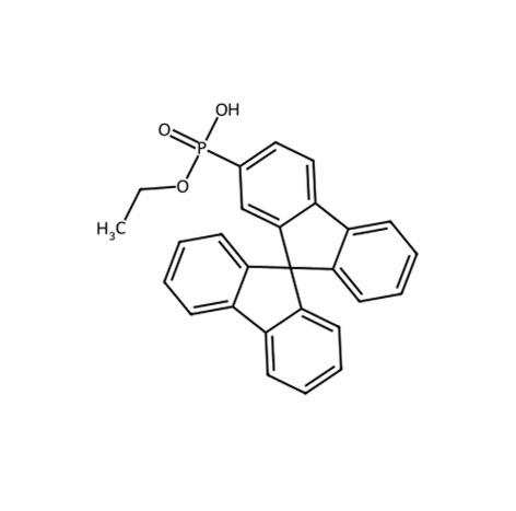 CCOP(=O)(O)c1ccc2c(c1)C1(c3ccccc3-c3ccccc31)c1ccccc1-2